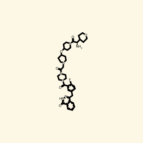 N[C@@H](C(=O)N1CCC(OC2CCN(CC(=O)N3CCN(C(=O)c4cc(Cc5n[nH]c(=O)c6ccccc56)ccc4F)CC3)CC2)CC1)C1CCOCC1